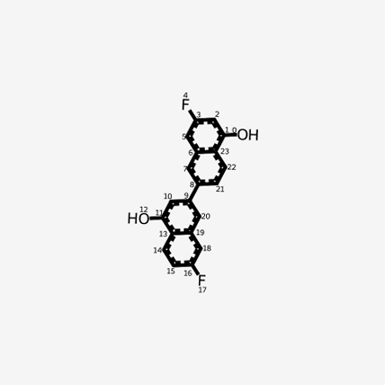 Oc1cc(F)cc2cc(-c3cc(O)c4ccc(F)cc4c3)ccc12